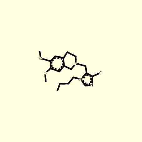 CCCCn1cnc(Cl)c1CN1CCc2cc(OC)c(OC)cc2C1